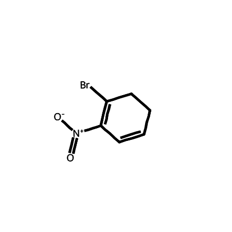 O=[N+]([O-])C1=C(Br)CCC=C1